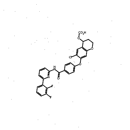 O=C(O)OC1CCOc2cc(Oc3ccc(C(=O)Nc4cccc(-c5cccc(F)c5F)n4)cc3)c(Cl)cc21